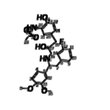 COc1ccc(C(Cc2cccc(F)c2)NCC(O)Cc2ccc(O)c(NS(C)(=O)=O)c2)cc1OC